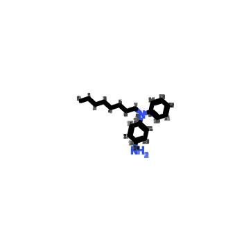 CCCCCCCCN(c1ccccc1)c1ccc(N)cc1